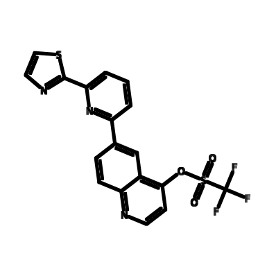 O=S(=O)(Oc1ccnc2ccc(-c3cccc(-c4nccs4)n3)cc12)C(F)(F)F